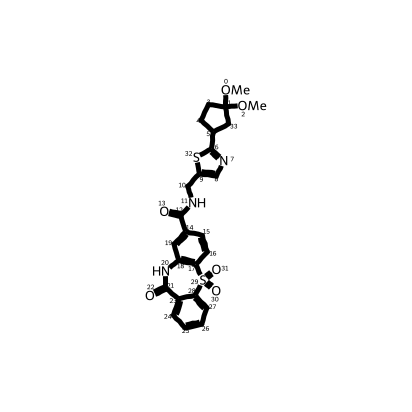 COC1(OC)CCC(c2ncc(CNC(=O)c3ccc4c(c3)NC(=O)c3ccccc3S4(=O)=O)s2)C1